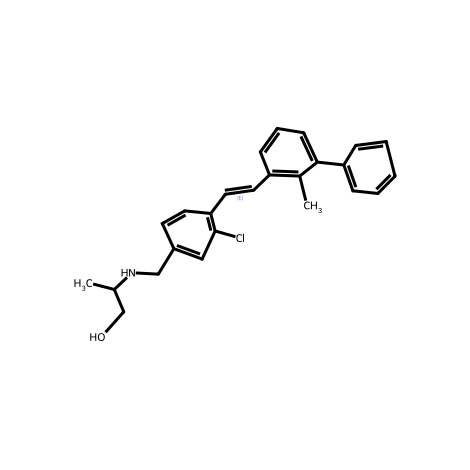 Cc1c(/C=C/c2ccc(CNC(C)CO)cc2Cl)cccc1-c1ccccc1